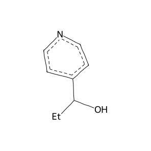 [CH2]CC(O)c1ccncc1